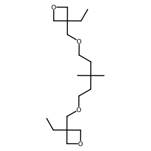 CCC1(COCCC(C)(C)CCOCC2(CC)COC2)COC1